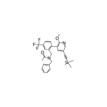 COc1ncc(C#C[Si](C)(C)C)cc1-c1ccc(C(F)(F)F)cc1CN(Cc1ccccc1)C(C)=O